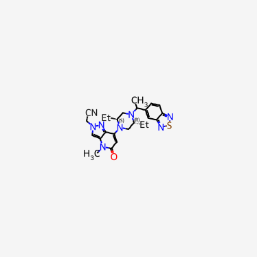 CC[C@H]1CN(C(C)c2ccc3nsnc3c2)[C@H](CC)CN1c1cc(=O)n(C)c2cn(CC#N)nc12